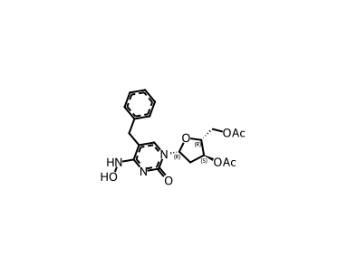 CC(=O)OC[C@H]1O[C@@H](n2cc(Cc3ccccc3)c(NO)nc2=O)C[C@@H]1OC(C)=O